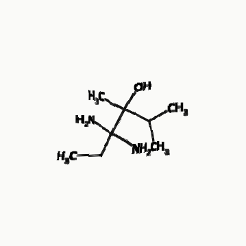 CCC(N)(N)C(C)(O)C(C)C